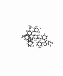 CC1(C)c2ccccc2N(c2cc(-c3ccccc3-c3cc(C#N)c(C#N)cc3C#N)cc(-n3c4ccccc4c4cnccc43)c2)c2ccccc21